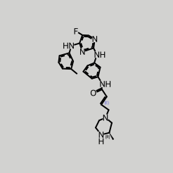 Cc1cccc(Nc2nc(Nc3cccc(NC(=O)/C=C/CN4CCN[C@H](C)C4)c3)ncc2F)c1